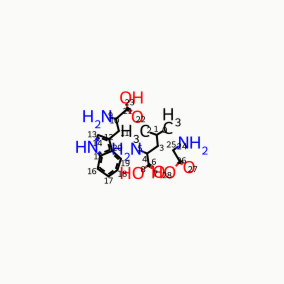 CC(C)CC(N)C(=O)O.NC(Cc1c[nH]c2ccccc12)C(=O)O.NCC(=O)O